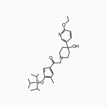 CCOc1ccc(C2(O)CCN(CC(=O)c3ccc(O[Si](C(C)C)(C(C)C)C(C)C)c(C)c3)CC2)cn1